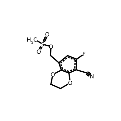 CS(=O)(=O)OCc1cc(F)c(C#N)c2c1OCCO2